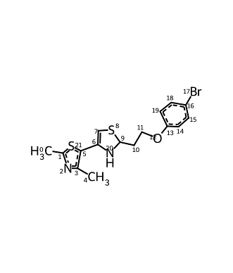 Cc1nc(C)c(C2=CSC(CCOc3ccc(Br)cc3)N2)s1